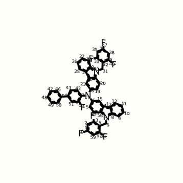 Fc1cc(F)c(Cn2c3ccccc3c3cc(N(c4ccc5c(c4)c4ccccc4n5Cc4c(F)cc(F)cc4F)c4ccc(-c5ccccc5)cc4F)ccc32)c(F)c1